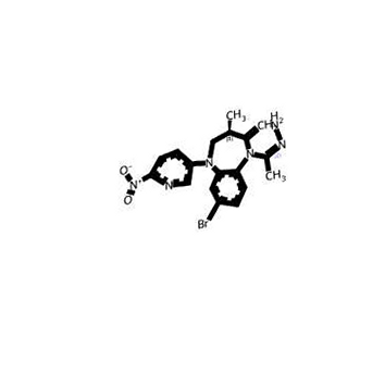 C=C1[C@H](C)CN(c2ccc([N+](=O)[O-])nc2)c2cc(Br)ccc2N1/C(C)=N\N